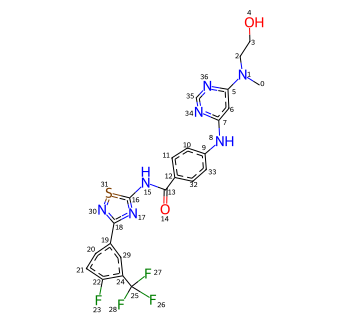 CN(CCO)c1cc(Nc2ccc(C(=O)Nc3nc(-c4ccc(F)c(C(F)(F)F)c4)ns3)cc2)ncn1